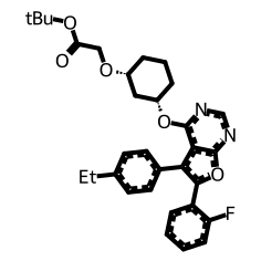 CCc1ccc(-c2c(-c3ccccc3F)oc3ncnc(O[C@H]4CCC[C@@H](OCC(=O)OC(C)(C)C)C4)c23)cc1